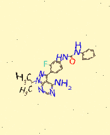 CC(C)n1nc(-c2ccc(NC(=O)Nc3ccccc3)cc2F)c2c(N)ncnc21